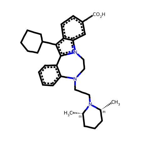 C[C@@H]1CCC[C@H](C)N1CCN1CCn2c(c(C3CCCCC3)c3ccc(C(=O)O)cc32)-c2ccccc21